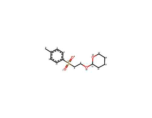 Cc1ccc(S(=O)(=O)CCOC2CCCCO2)cc1